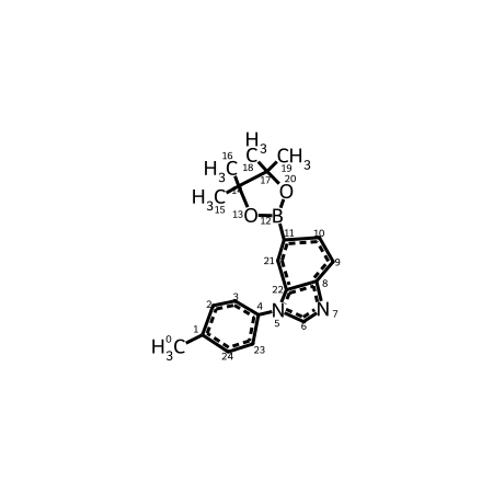 Cc1ccc(-n2cnc3ccc(B4OC(C)(C)C(C)(C)O4)cc32)cc1